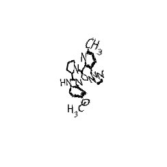 COc1ccc2[nH]c(C3CCCN3C(=O)c3nc(C)ccc3-n3nccn3)nc2c1